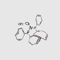 CCCON(P(c1ccccc1)c1ccccc1)P(c1ccccc1)c1ccccc1